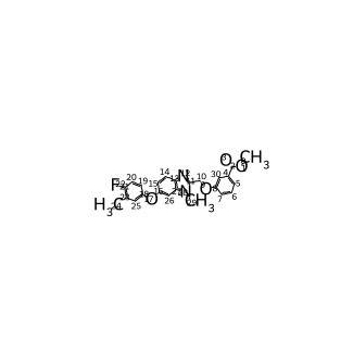 COC(=O)c1cccc(OCc2nc3ccc(Oc4ccc(F)c(C)c4)cc3n2C)c1